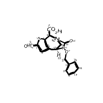 O=Cc1cc2c(s1)C(C(=O)O)N1C[C@H]2N(OCc2ccccc2)C1=O